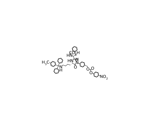 Cc1ccc(C(NCCCC[C@H](NC(=O)[C@H](Cc2ccccc2)NC(=O)O)C(=O)Nc2ccc(COC(=O)Oc3ccc([N+](=O)[O-])cc3)cc2)(c2ccccc2)c2ccccc2)cc1